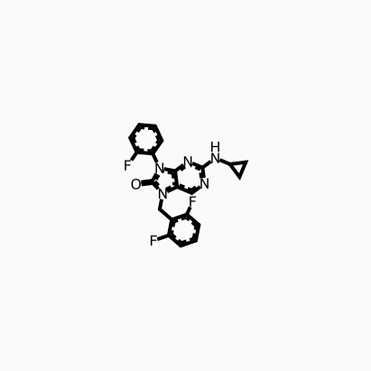 O=c1n(Cc2c(F)cccc2F)c2cnc(NC3CC3)nc2n1-c1ccccc1F